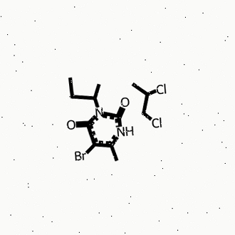 CC(Cl)CCl.CCC(C)n1c(=O)[nH]c(C)c(Br)c1=O